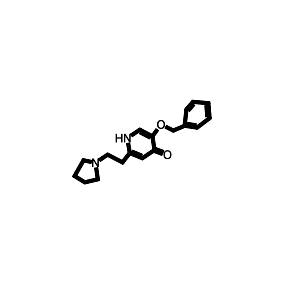 O=c1cc(CCN2CCCC2)[nH]cc1OCc1ccccc1